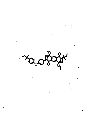 CCOC(=O)c1cc(C(=O)Nc2ccc(Oc3ccc(C(C)(C)CC)cc3)cc2)c(C(=O)OC)cc1C(=O)NC(C)(C)CC